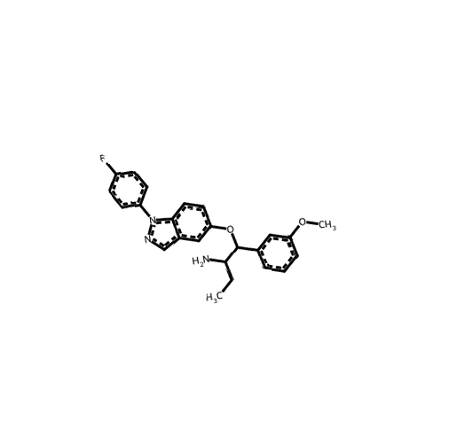 CCC(N)C(Oc1ccc2c(cnn2-c2ccc(F)cc2)c1)c1cccc(OC)c1